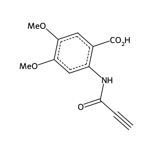 C#CC(=O)Nc1cc(OC)c(OC)cc1C(=O)O